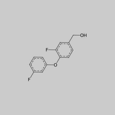 OCc1ccc(Oc2cccc(F)c2)c(F)c1